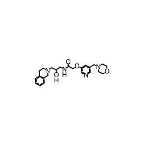 O=C(COc1cncc(CN2CCOCC2)c1)NCC(O)CN1CCc2ccccc2C1